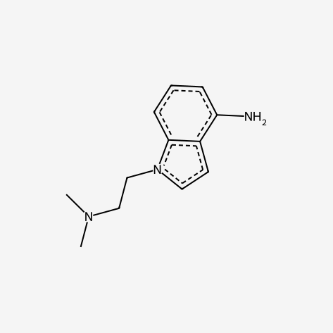 CN(C)CCn1ccc2c(N)cccc21